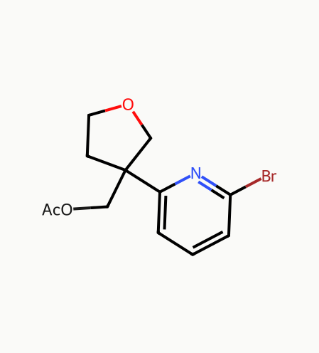 CC(=O)OCC1(c2cccc(Br)n2)CCOC1